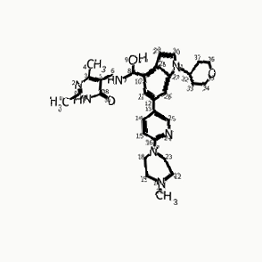 Cc1nc(C)c(CNC(O)c2cc(-c3ccc(N4CCN(C)CC4)nc3)cc3c2ccn3C2CCOCC2)c(=O)[nH]1